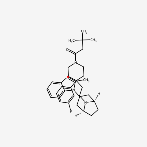 Cc1nc2ccccc2n1C1C[C@H]2CC[C@@H](C1)N2CCC1(c2cccc(F)c2)CCN(C(=O)CC(C)(C)C)CC1